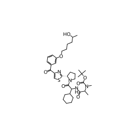 CC(O)CCCCOc1cccc(C(=O)c2csc([C@@H]3CCCN3C(=O)C(NC(=O)C(C)N(C)C(=O)OC(C)(C)C)C3CCCCC3)n2)c1